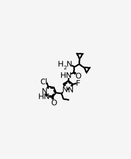 CCC(c1cc(Cl)n[nH]c1=O)n1cc(NC(=O)C(N)C(C2CC2)C2CC2)c(F)n1